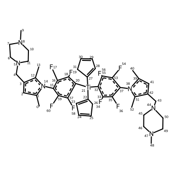 Cc1cc(CN2CCN(C)CC2)c(C)n1-c1c(F)c(F)[c]([Ti]([C]2=CC=CC2)([C]2=CC=CC2)[c]2c(F)c(F)c(-n3c(C)cc(CN4CCN(C)CC4)c3C)c(F)c2F)c(F)c1F